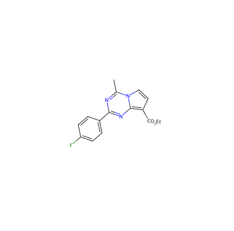 CCOC(=O)c1ccn2c(C)nc(-c3ccc(F)cc3)nc12